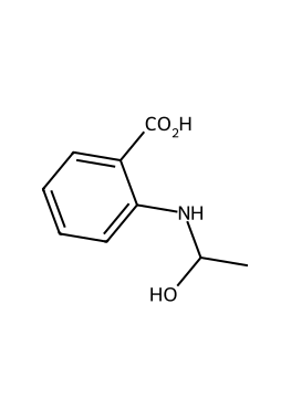 CC(O)Nc1ccccc1C(=O)O